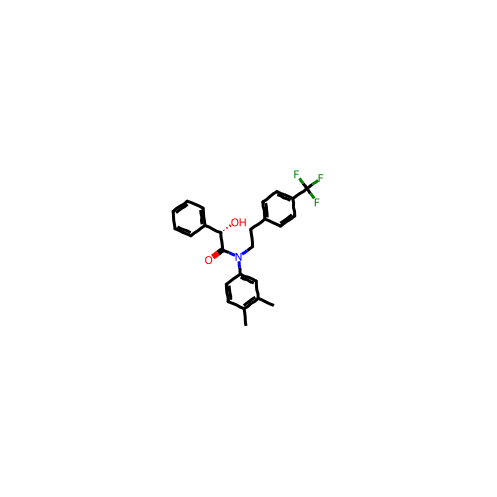 Cc1ccc(N(CCc2ccc(C(F)(F)F)cc2)C(=O)[C@@H](O)c2ccccc2)cc1C